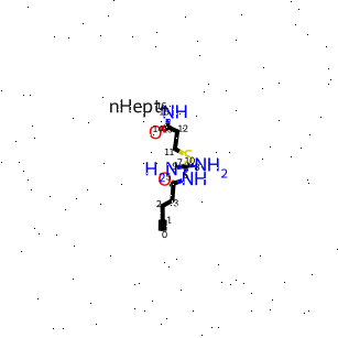 C#CCCC(=O)NC(N)(N)SCCC(=O)NCCCCCCC